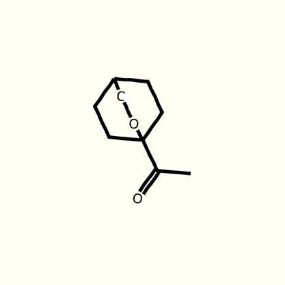 CC(=O)C12CCC(CC1)CO2